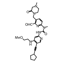 COCCNc1cc(NC(=O)N(C)c2ccc(CN3CCN(C)CC3=O)c(C=O)n2)ncc1C#CC1CCCC1